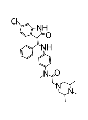 CC1CN(CC(=O)N(C)c2ccc(N/C(=C3\C(=O)Nc4cc(Cl)ccc43)c3ccccc3)cc2)CC(C)N1C